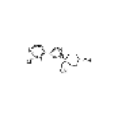 N#CCC1(n2cc(-c3ccnc(Cl)n3)cn2)CCC(O)CC1